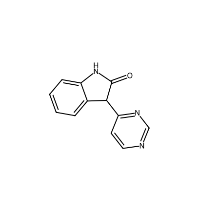 O=C1Nc2ccccc2C1c1ccncn1